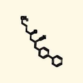 CCCCC(=O)CC(C#N)=Cc1ccc(-c2ccccc2)cc1